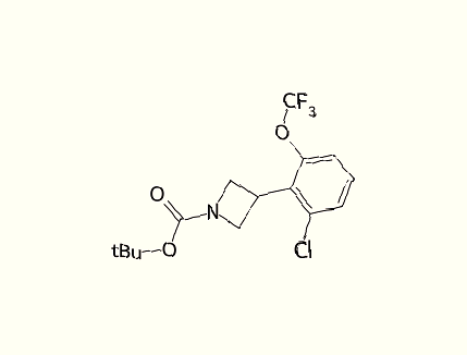 CC(C)(C)OC(=O)N1CC(c2c(Cl)cccc2OC(F)(F)F)C1